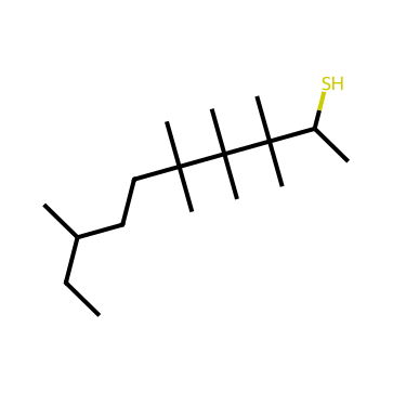 CCC(C)CCC(C)(C)C(C)(C)C(C)(C)C(C)S